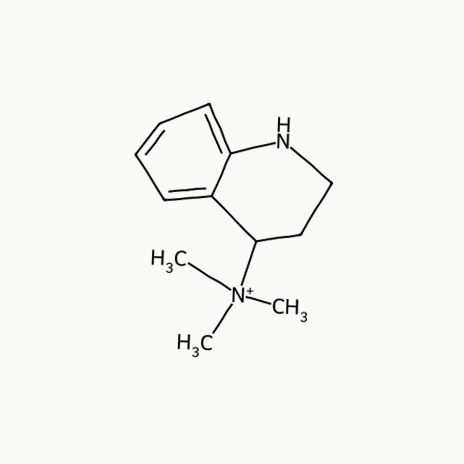 C[N+](C)(C)C1CCNc2ccccc21